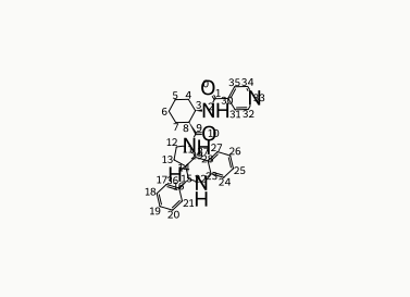 O=C(N[C@@H]1CCCC[C@@H]1C(=O)N1CC[C@H]2[C@H](c3ccccc3)Nc3ccccc3[C@@H]21)c1ccncc1